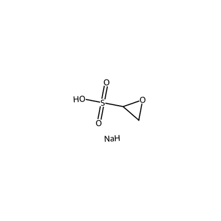 O=S(=O)(O)C1CO1.[NaH]